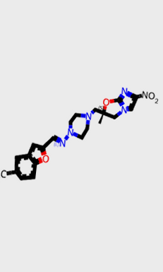 C[C@]1(CN2CCN(/N=C/c3cc4cc(C(F)(F)F)ccc4o3)CC2)Cn2cc([N+](=O)[O-])nc2O1